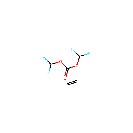 C=C.O=C(OC(F)F)OC(F)F